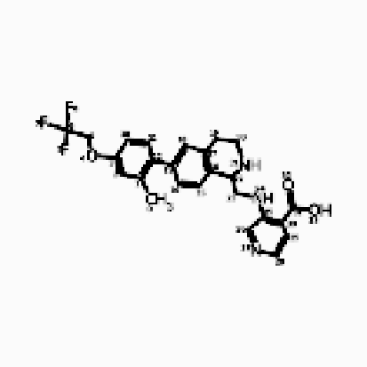 Cc1cc(OCC(F)(F)F)ccc1-c1ccc2c(c1)CCNC2CNc1cnccc1C(=O)O